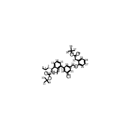 CCC[C@@H](NC(=O)OC(C)(C)C)c1cccc(-c2cc(Cl)cc(COc3ccccc3CC(=O)OC(C)(C)C)c2)c1F